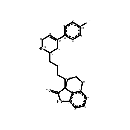 O=C1Nc2cccc3c2C1(CCCCC1CC(c2ccc(F)cc2)=CCN1)CCC3